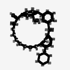 O=C1NCCCCCOCc2cc(ccc2N2CCCCC2)Nc2nccc(n2)-c2ccc1cc2[N+](=O)[O-]